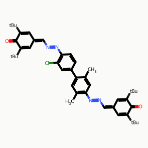 Cc1cc(-c2ccc(/N=N/C=C3C=C(C(C)(C)C)C(=O)C(C(C)(C)C)=C3)c(Cl)c2)c(C)cc1/N=N/C=C1C=C(C(C)(C)C)C(=O)C(C(C)(C)C)=C1